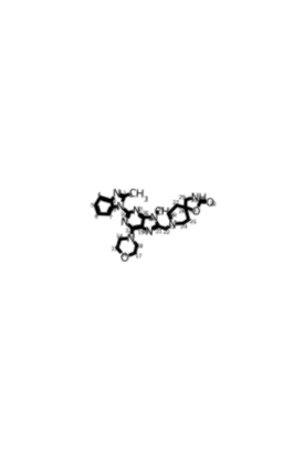 Cc1nc2ccccc2n1-c1nc(N2CCOCC2)c2nc(CN3CCC4(CC3)CNC(=O)O4)n(C)c2n1